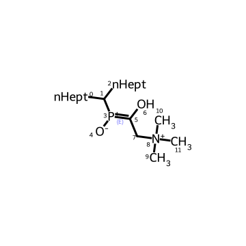 CCCCCCCC(CCCCCCC)/[P+]([O-])=C(\O)C[N+](C)(C)C